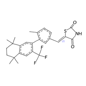 Cc1ccc(/C=C2\SC(=O)NC2=O)cc1-c1cc2c(cc1C(F)(F)F)C(C)(C)CCC2(C)C